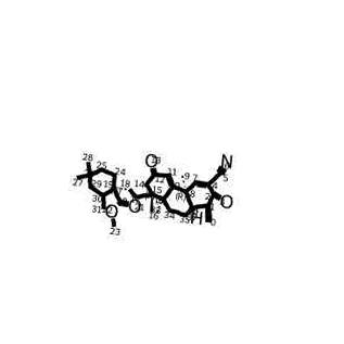 C=C1C(=O)C(C#N)=C[C@]2(C)C3=CC(=O)C[C@@](C)(CC[C@@]4(C(=O)OC)CCC(C)(C)CC4C)[C@]3(C)CC[C@@H]12